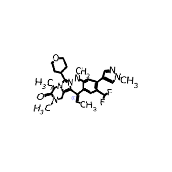 C=Nc1cc(-c2cnn(C)c2)c(C(F)F)cc1/C(=C\C)c1nc(C2CCOCC2)n2c1CN(C)C(=O)[C@H]2C